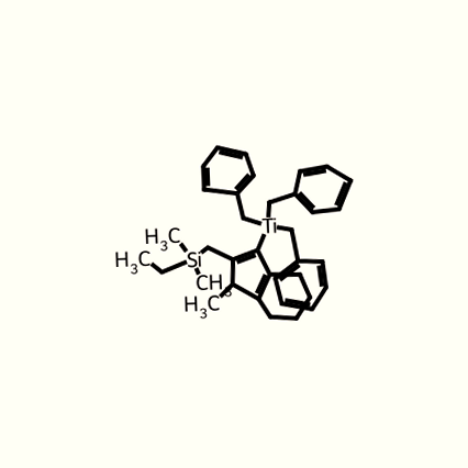 CC[Si](C)(C)CC1=[C]([Ti]([CH2]c2ccccc2)([CH2]c2ccccc2)[CH2]c2ccccc2)C2=C(CCCC2)C1C